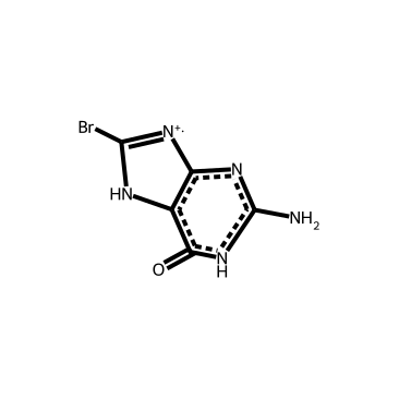 Nc1nc2c(c(=O)[nH]1)NC(Br)=[N+]2